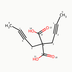 CC#CCC(CC#CC)(C(=O)O)C(=O)O